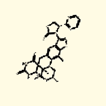 C[C@@H]1CN2c3c(cc4c(N5C(=O)OC[C@@H]5c5ncccn5)noc4c3F)CC3(C(=O)NC(=O)NC3O)[C@H]2[C@H](C)O1